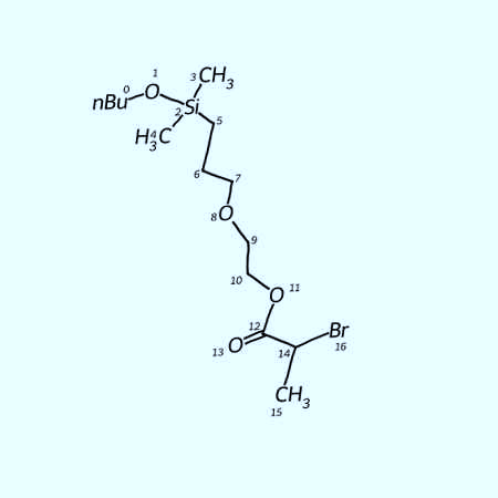 CCCCO[Si](C)(C)CCCOCCOC(=O)C(C)Br